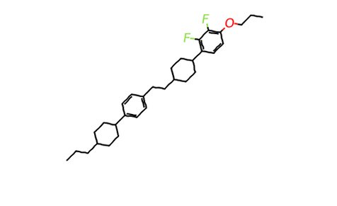 CCCOc1ccc(C2CCC(CCc3ccc(C4CCC(CCC)CC4)cc3)CC2)c(F)c1F